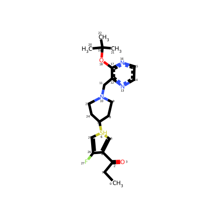 CCC(=O)C1=C[SH](C2CCN(Cc3nccnc3OC(C)(C)C)CC2)C=C1F